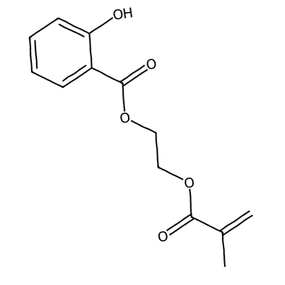 C=C(C)C(=O)OCCOC(=O)c1ccccc1O